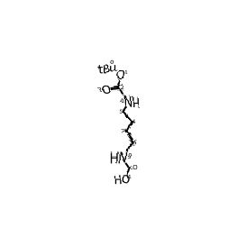 CC(C)(C)OC(=O)NCCCCNCO